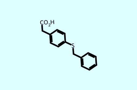 O=C(O)Cc1ccc(SCc2ccccc2)cc1